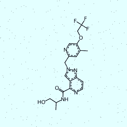 Cc1cc(Cn2cc3c(C(=O)NC(C)CO)nccc3n2)ncc1OCC(F)(F)F